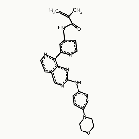 C=C(C)C(=O)Nc1ccnc(-c2nccc3cnc(Nc4ccc(N5CCOCC5)cc4)nc23)c1